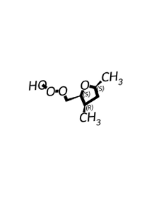 C[C@@H]1C[C@H](C)O[C@@H]1COOO